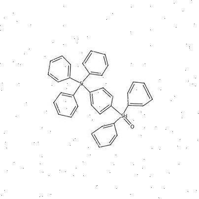 O=[SH](c1ccccc1)(c1ccccc1)c1ccc([Si](c2ccccc2)(c2ccccc2)c2ccccc2)cc1